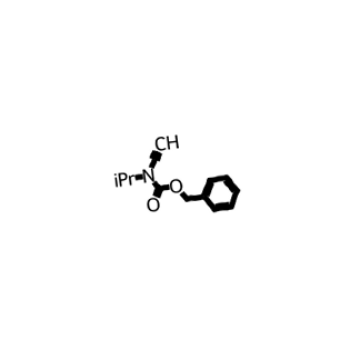 C#CN(C(=O)OCc1ccccc1)C(C)C